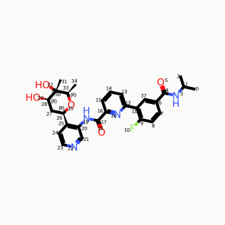 CC(C)NC(=O)c1ccc(F)c(-c2cccc(C(=O)Nc3cnccc3[C@H]3C[C@@H](O)[C@](C)(O)[C@@H](C)O3)n2)c1